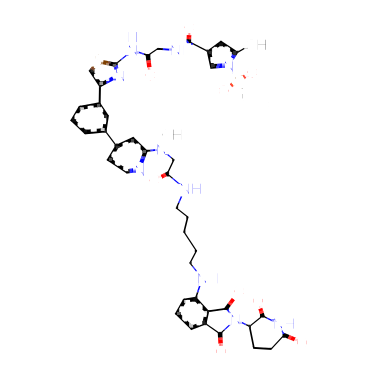 Cc1cc(C(=O)NCC(=O)Nc2nc(-c3cccc(-c4ccnc(N(C)CC(=O)NCCCCCNc5cccc6c5C(=O)N(C5CCC(=O)NC5=O)C6=O)c4)c3)cs2)cn1S(C)(=O)=O